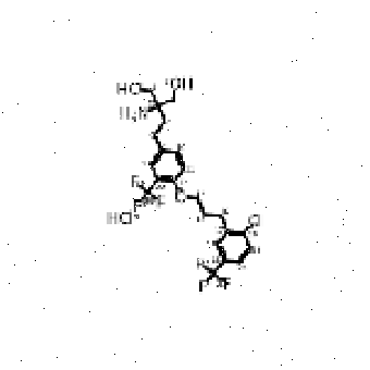 Cl.NC(CO)(CO)CCc1ccc(OCCCc2cc(C(F)(F)F)ccc2Cl)c(C(F)(F)F)c1